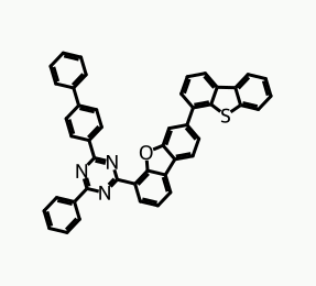 c1ccc(-c2ccc(-c3nc(-c4ccccc4)nc(-c4cccc5c4oc4cc(-c6cccc7c6sc6ccccc67)ccc45)n3)cc2)cc1